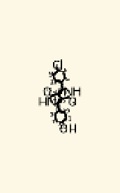 O=C1NC(c2ccc(Cl)cc2)=C2C(=O)NC(c3ccc(O)cc3)=C12